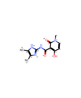 Cn1ccc(O)c(C(=O)Nc2nc(C#N)c(C#N)[nH]2)c1=O